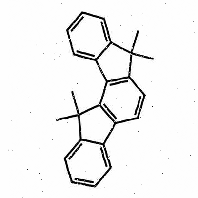 CC1(C)c2ccccc2-c2c1ccc1c2C(C)(C)c2ccccc2-1